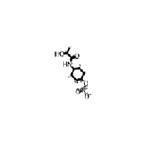 CC(O)C(=O)NC1CCC(O[N+](=O)[O-])CC1